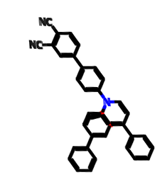 C=C/C=C(\C=C/N(c1ccc(-c2ccccc2)cc1)c1ccc(-c2ccc(C#N)c(C#N)c2)cc1)c1ccccc1